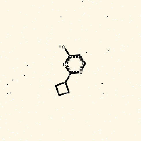 Oc1ccnc(C2CCC2)n1